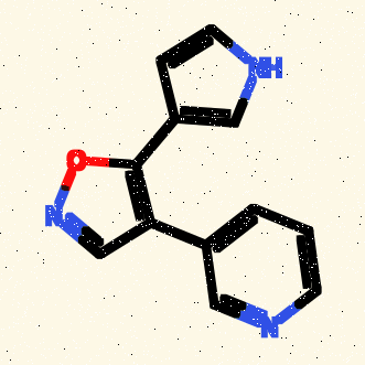 c1cncc(-c2cnoc2-c2cc[nH]c2)c1